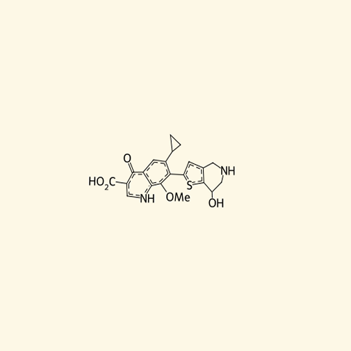 COc1c(-c2cc3c(s2)C(O)CNC3)c(C2CC2)cc2c(=O)c(C(=O)O)c[nH]c12